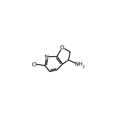 NC1COc2nc(Cl)ccc21